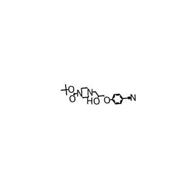 CC(C)(C)OC(=O)N1CCN(CC(O)COc2ccc(C#N)cc2)CC1